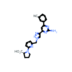 N#Cc1cccc(-c2cc(-c3cn(Cc4cccc(N5CCC[C@@H]5C(=O)O)n4)nn3)nc(N)n2)c1